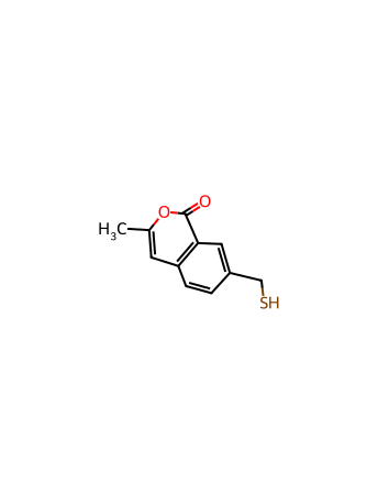 Cc1cc2ccc(CS)cc2c(=O)o1